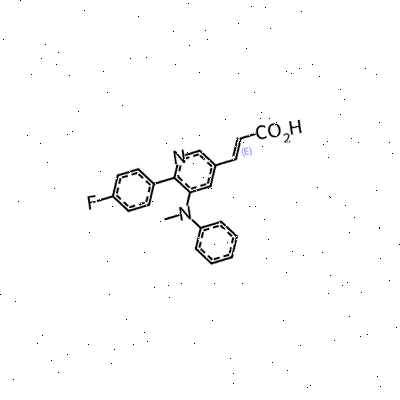 CN(c1ccccc1)c1cc(/C=C/C(=O)O)cnc1-c1ccc(F)cc1